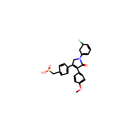 COc1ccc(C2=C(c3ccc(CS(=O)O)cc3)CN(C3=CC=CC(F)C3)C2=O)cc1